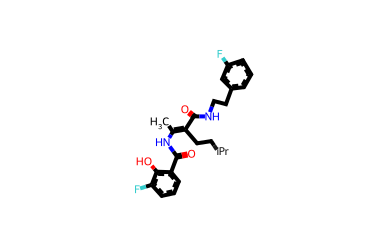 CC(NC(=O)c1cccc(F)c1O)=C(CCC(C)C)C(=O)NCCc1cccc(F)c1